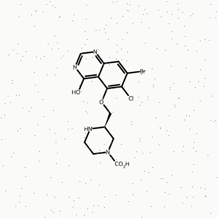 O=C(O)N1CCN[C@@H](COc2c(Cl)c(Br)cc3ncnc(O)c23)C1